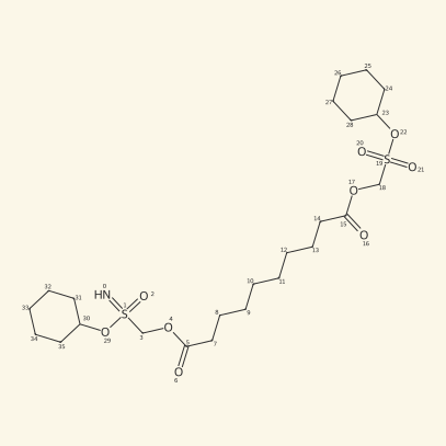 N=S(=O)(COC(=O)CCCCCCCCC(=O)OCS(=O)(=O)OC1CCCCC1)OC1CCCCC1